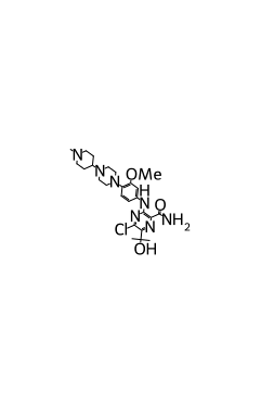 COc1cc(Nc2nc(Cl)c(C(C)(C)O)nc2C(N)=O)ccc1N1CCN(C2CCN(C)CC2)CC1